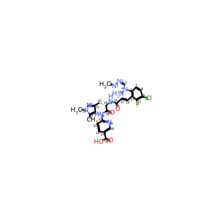 C=N/N=C\N(N)c1ccc(Cl)c(F)c1/C=C/C(=O)N[C@@H](Cc1cc(C)n(C)n1)C(=O)Nc1ccc(C(=O)O)cn1